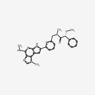 CNc1nc2[nH]c(-c3cccc(CN(C)C(=O)[C@H](OC)c4ccccc4)n3)cc2c2c1ncn2C